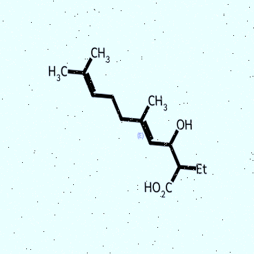 CCC(C(=O)O)C(O)/C=C(\C)CCC=C(C)C